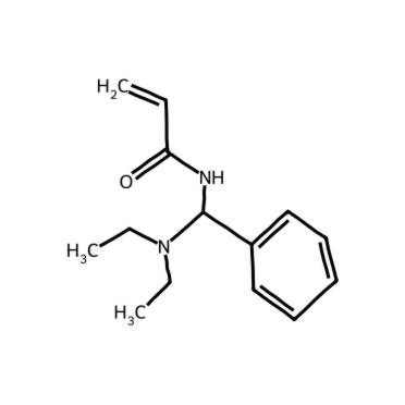 C=CC(=O)NC(c1ccccc1)N(CC)CC